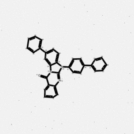 O=c1c2ccccc2nc2n(-c3ccc(-c4ccccc4)cc3)c3ccc(-c4ccccc4)cc3n12